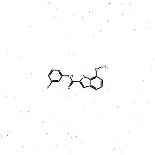 COc1cccc2cc(C(=O)Nc3cccc(F)c3)oc12